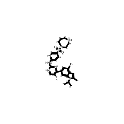 Cc1cc2c(F)cc(-c3nc(Nc4ccc(S(=O)(=O)N5CCCNCC5)cn4)ncc3F)cc2n1C(C)C